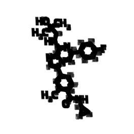 Cc1cc(-c2cnc3c(NCC(C)(C)O)nc(-c4ccc(F)cc4)cn23)ccc1C(=O)NC1CC1